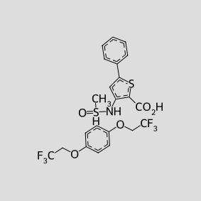 C[SH](=O)(Nc1cc(-c2ccccc2)sc1C(=O)O)c1cc(OCC(F)(F)F)ccc1OCC(F)(F)F